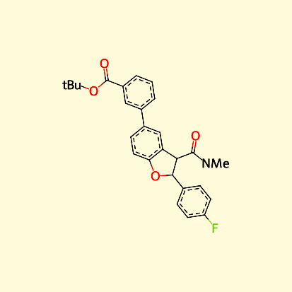 CNC(=O)C1c2cc(-c3cccc(C(=O)OC(C)(C)C)c3)ccc2OC1c1ccc(F)cc1